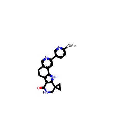 COc1ccc(-c2cc3c(cn2)CCc2c-3[nH]c3c2C(=O)NCC32CC2)cn1